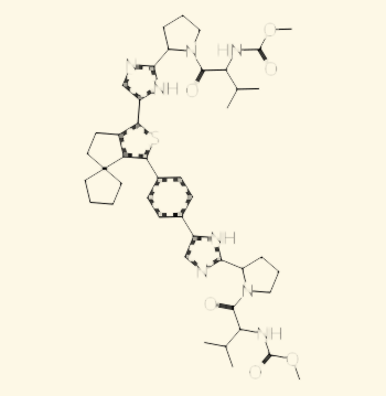 COC(=O)NC(C(=O)N1CCCC1c1ncc(-c2ccc(-c3sc(-c4cnc(C5CCCN5C(=O)C(NC(=O)OC)C(C)C)[nH]4)c4c3C3(CCCC3)CC4)cc2)[nH]1)C(C)C